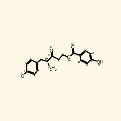 N[C@@H](Cc1ccc(O)cc1)C(=O)CCOC(=O)c1ccc(O)cc1